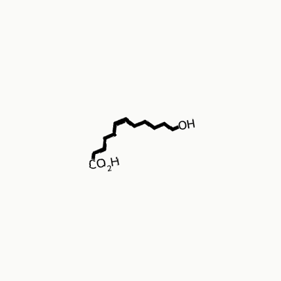 O=C(O)CCCC/C=C\CCCCCO